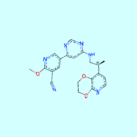 COc1ncc(-c2cc(NC[C@@H](C)c3ccnc4c3OCCO4)ncn2)cc1C#N